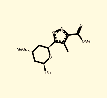 COC(=O)c1noc([C@@H]2C[C@@H](OC)C[C@H](C(C)(C)C)O2)c1C